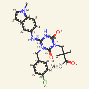 COC(=O)C(C)(C)Cn1c(=O)[nH]/c(=N\c2ccc3c(ccn3C)c2)n(Cc2ccc(Cl)cc2)c1=O